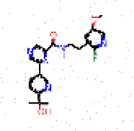 COc1cnc(F)c(CCNC(=O)c2cncc(-c3ccc(C(C)(C)O)nc3)n2)c1